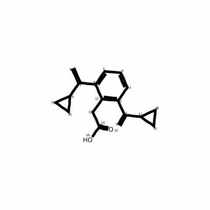 C=C(c1cccc(C(=C)C2CC2)c1CC(=O)O)C1CC1